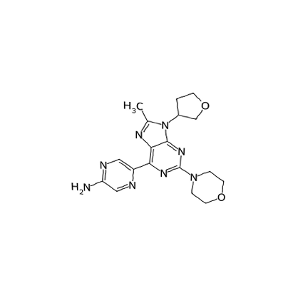 Cc1nc2c(-c3cnc(N)cn3)nc(N3CCOCC3)nc2n1C1CCOC1